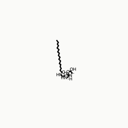 CCCCCCCCCCCCCCCCCC(=O)N[C@@H](C)C(=O)N[C@@H](C)C(=O)N[C@@H](C)C(=O)O